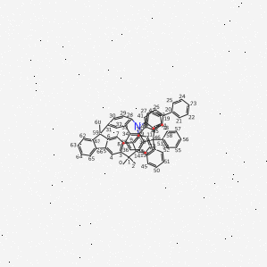 CC1(C)c2cc3c4cc2-c2c(cccc21)N(c1ccc(-c2ccccc2)cc1)c1ccc(cc1-c1cccc2c1-c1ccccc1C2(c1ccccc1)c1ccccc1)C4(C)c1ccccc1-3